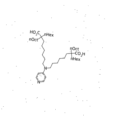 CCCCCCCCC(CCCCCC)(CCCCCCN(CCCCCCC(CCCCCC)(CCCCCCCC)C(=O)O)c1ccncc1)C(=O)O